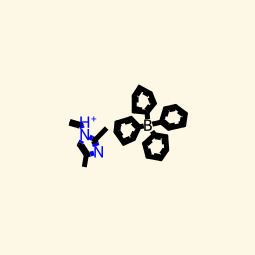 C=C[NH+]1C=C(C)N=C1C.c1ccc([B-](c2ccccc2)(c2ccccc2)c2ccccc2)cc1